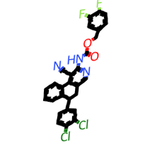 N#Cc1c(NC(=O)OCc2ccc(F)c(F)c2)ncc2c1-c1ccccc1C(c1ccc(Cl)c(Cl)c1)C2